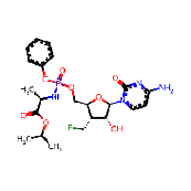 CC(C)OC(=O)[C@@H](C)N[P@@](=O)(OC[C@H]1O[C@@H](n2ccc(N)nc2=O)[C@H](O)[C@@H]1CF)Oc1ccccc1